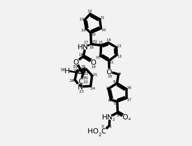 O=C(O)CNC(=O)c1ccc(COc2cccc([C@@H](NC(=O)O[C@H]3CN4CCC3CC4)c3ccccc3)c2)cc1